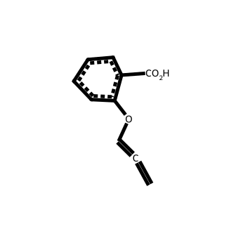 C=C=COc1ccccc1C(=O)O